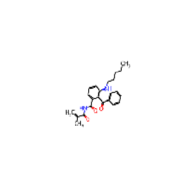 C=C(C)C(=O)NC(=O)c1cccc(NCCCCC)c1C(=O)c1ccccc1